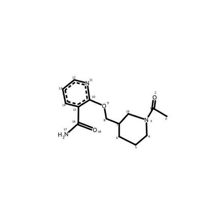 CC(=O)N1CCCC(COc2ncccc2C(N)=O)C1